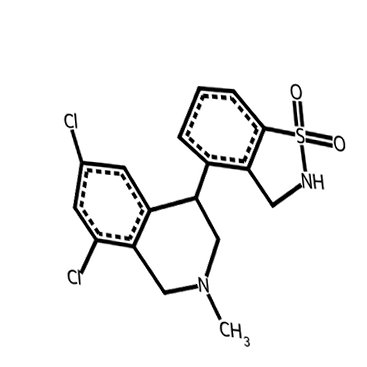 CN1Cc2c(Cl)cc(Cl)cc2C(c2cccc3c2CNS3(=O)=O)C1